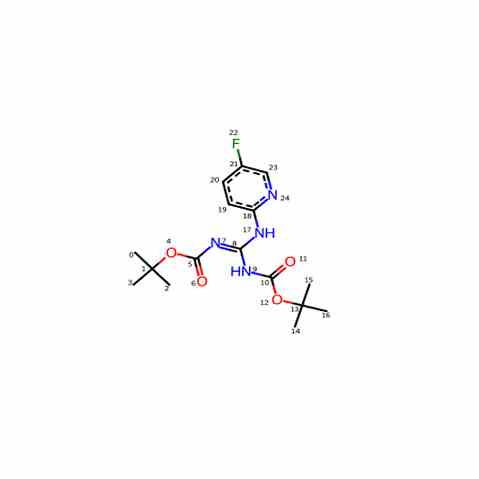 CC(C)(C)OC(=O)N=C(NC(=O)OC(C)(C)C)Nc1ccc(F)cn1